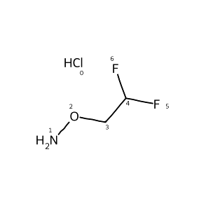 Cl.NOCC(F)F